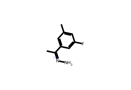 C/C(=N/N)c1cc(C)cc(F)c1